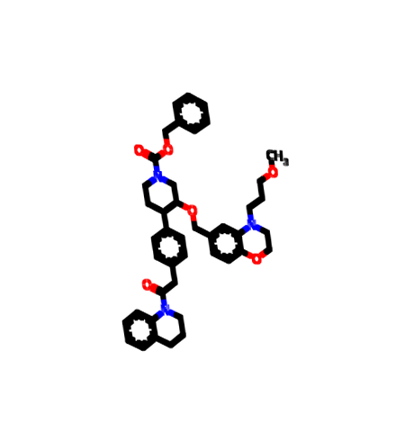 COCCCN1CCOc2ccc(COC3CN(C(=O)OCc4ccccc4)CCC3c3ccc(CC(=O)N4CCCc5ccccc54)cc3)cc21